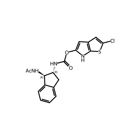 CC(=O)N[C@@H]1c2ccccc2C[C@H]1NC(=O)Oc1cc2cc(Cl)sc2[nH]1